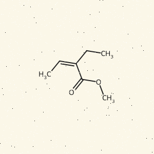 CC=C(CC)C(=O)OC